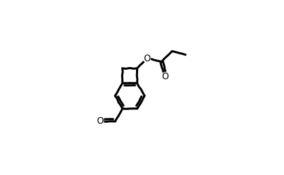 CCC(=O)OC1Cc2cc(C=O)ccc21